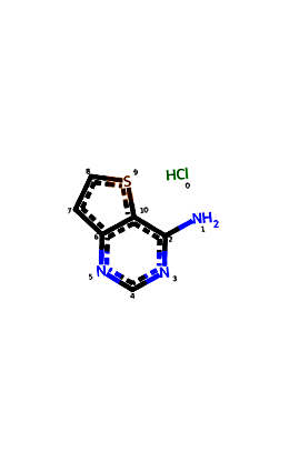 Cl.Nc1ncnc2ccsc12